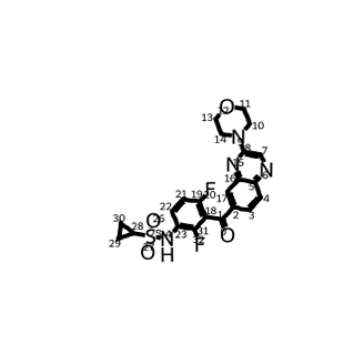 O=C(c1ccc2ncc(N3CCOCC3)nc2c1)c1c(F)ccc(NS(=O)(=O)C2CC2)c1F